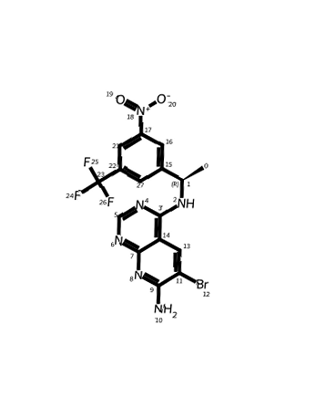 C[C@@H](Nc1ncnc2nc(N)c(Br)cc12)c1cc([N+](=O)[O-])cc(C(F)(F)F)c1